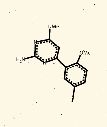 CNc1cc(-c2cc(C)ccc2OC)nc(N)n1